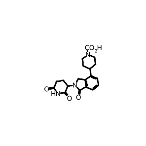 O=C1CCC(N2Cc3c(cccc3C3CCN(C(=O)O)CC3)C2=O)C(=O)N1